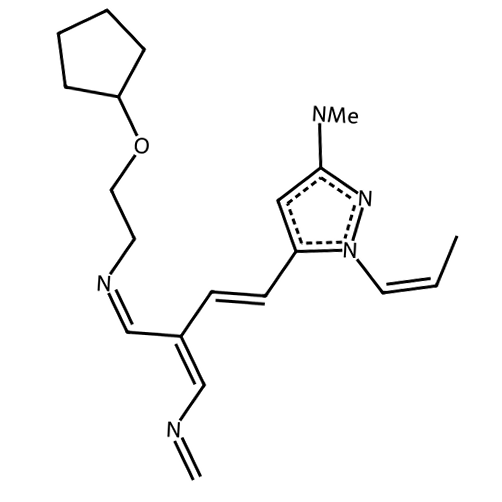 C=N/C=C(\C=N/CCOC1CCCC1)/C=C/c1cc(NC)nn1/C=C\C